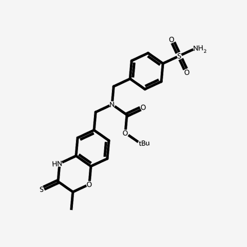 CC1Oc2ccc(CN(Cc3ccc(S(N)(=O)=O)cc3)C(=O)OC(C)(C)C)cc2NC1=S